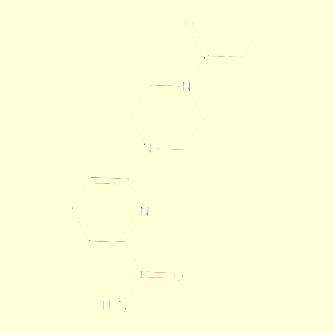 CCC(=O)N1CCN(c2cc[c]c(C(N)=O)n2)CC1